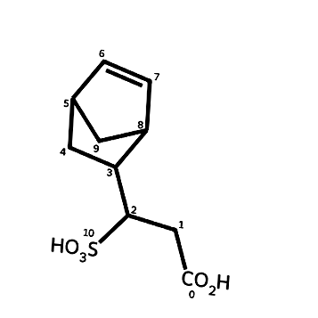 O=C(O)CC(C1CC2C=CC1C2)S(=O)(=O)O